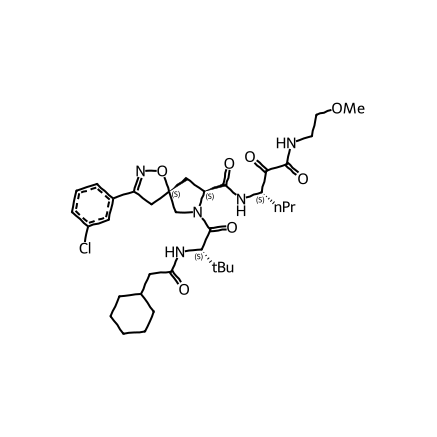 CCC[C@H](NC(=O)[C@@H]1C[C@]2(CC(c3cccc(Cl)c3)=NO2)CN1C(=O)[C@@H](NC(=O)CC1CCCCC1)C(C)(C)C)C(=O)C(=O)NCCOC